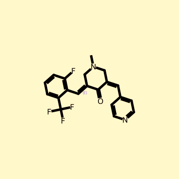 CN1CC(=Cc2ccncc2)C(=O)/C(=C/c2c(F)cccc2C(F)(F)F)C1